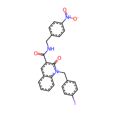 O=C(NCc1ccc([N+](=O)[O-])cc1)c1cc2ccccc2n(Cc2ccc(I)cc2)c1=O